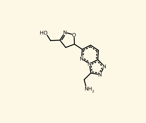 NCc1nnc2ccc(C3CC(CO)=NO3)nn12